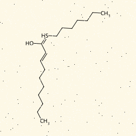 CCCCCCC/C=C/C(O)=[SH]\CCCCCCC